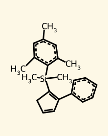 Cc1cc(C)c([Si](C)(C)C2=C(c3ccccc3)C=CC2)c(C)c1